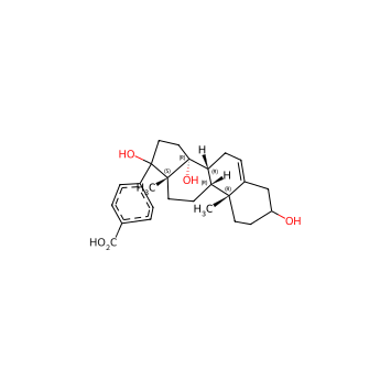 C[C@]12CCC(O)CC1=CC[C@@H]1[C@H]2CC[C@]2(C)C(O)(c3ccc(C(=O)O)cc3)CC[C@@]12O